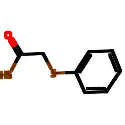 O=C(S)CSc1ccccc1